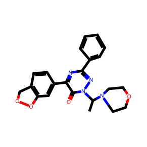 CC(N1CCOCC1)n1nc(-c2ccccc2)nc(-c2ccc3c(c2)OOC3)c1=O